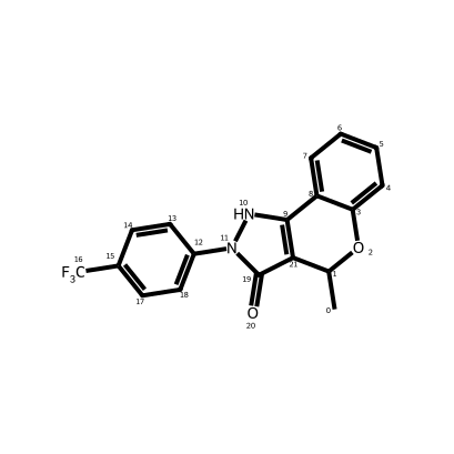 CC1Oc2ccccc2-c2[nH]n(-c3ccc(C(F)(F)F)cc3)c(=O)c21